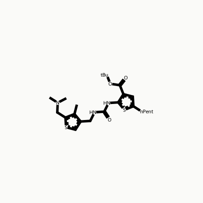 CCCCCc1cc(C(=O)OC(C)(C)C)c(NC(=O)NCc2csc(CN(C)C)c2C)s1